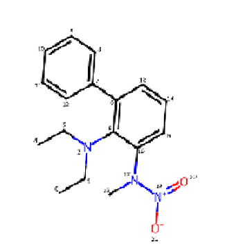 CCN(CC)c1c(-c2ccccc2)cccc1N(C)[N+](=O)[O-]